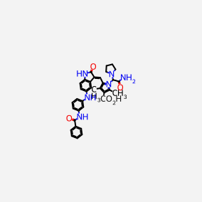 Cc1c(C(=O)O)c(C)n(C(C(N)=O)N2CCCC2)c1C=C1C(=O)Nc2ccc(Nc3cccc(NC(=O)c4ccccc4)c3)cc21